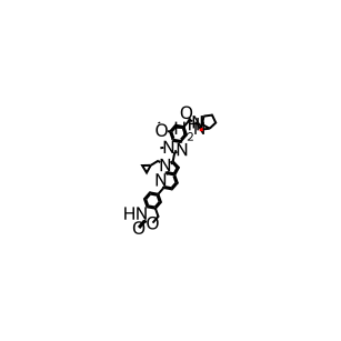 COc1cc(C(=O)N2CC3CCC2[C@@H]3N)cc2nc(-c3cc4ccc(-c5ccc6c(c5)COC(=O)N6)nc4n3CC3CC3)n(C)c12